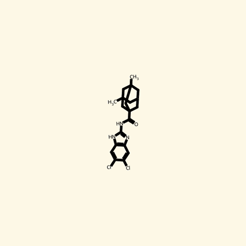 CC12CC3CC(C)(C1)CC(C(=O)Nc1nc4cc(Cl)c(Cl)cc4[nH]1)(C3)C2